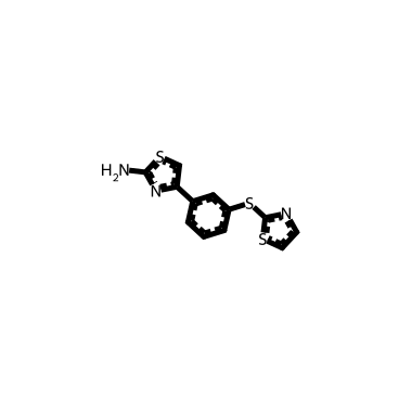 Nc1nc(-c2cccc(Sc3nccs3)c2)cs1